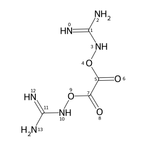 N=C(N)NOC(=O)C(=O)ONC(=N)N